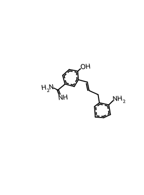 N=C(N)c1ccc(O)c(C=CCc2ccccc2N)c1